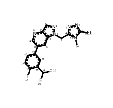 CCc1nnc(Cn2ncc3ncc(-c4ccc(F)c(C(F)F)c4)cc32)n1C